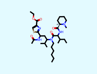 CCCCCCN(C(=O)C(NC(=O)[C@H]1CCCCN1C)C(C)CC)C(CC(NC(C)=O)c1nc(C(=O)OCC)cs1)C(C)C